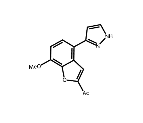 COc1ccc(-c2cc[nH]n2)c2cc(C(C)=O)oc12